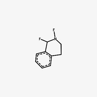 FC1c2ccccc2CCN1F